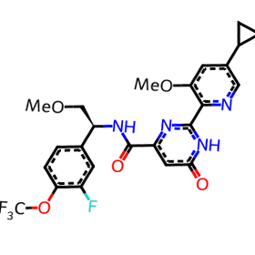 COC[C@@H](NC(=O)c1cc(=O)[nH]c(-c2ncc(C3CC3)cc2OC)n1)c1ccc(OC(F)(F)F)c(F)c1